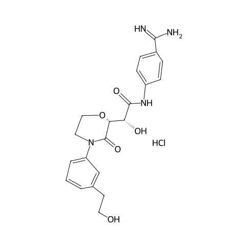 Cl.N=C(N)c1ccc(NC(=O)[C@H](O)[C@H]2OCCN(c3cccc(CCO)c3)C2=O)cc1